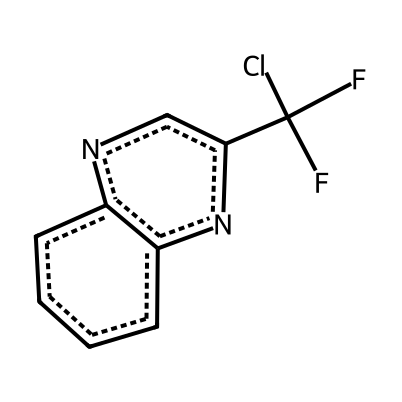 FC(F)(Cl)c1cnc2ccccc2n1